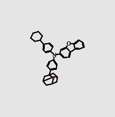 c1ccc2c(c1)oc1cc(N(c3ccc(C4CCCCC4)cc3)c3ccc(C45CC6CC(CC(C6)C4)C5)cc3)ccc12